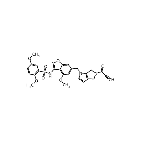 C#CC(=O)N1Cc2cnn(Cc3cc(OC)c4c(NS(=O)(=O)c5cc(OC)ccc5OC)noc4c3)c2C1